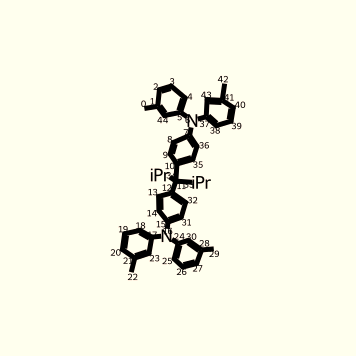 Cc1cccc(N(c2ccc(C(c3ccc(N(c4cccc(C)c4)c4cccc(C)c4)cc3)(C(C)C)C(C)C)cc2)c2cccc(C)c2)c1